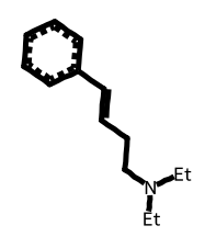 CCN(CC)CCC=Cc1ccccc1